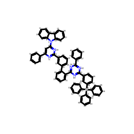 c1ccc(-c2cc(-n3c4ccccc4c4ccccc43)nc(-c3cccc(-c4ccccc4-c4nc(-c5ccccc5)nc(-c5cccc([Si](c6ccccc6)(c6ccccc6)c6ccccc6)c5)n4)c3)n2)cc1